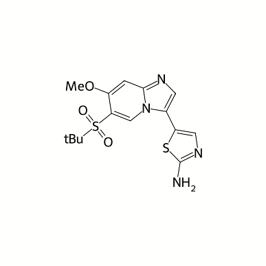 COc1cc2ncc(-c3cnc(N)s3)n2cc1S(=O)(=O)C(C)(C)C